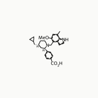 COc1cc(C)c2[nH]ccc2c1CN1CC[C@@H](CC2CC2)C[C@@H]1c1ccc(C(=O)O)cc1